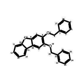 c1ccc(COc2cc3sc4ccccc4c3cc2OCc2ccccc2)cc1